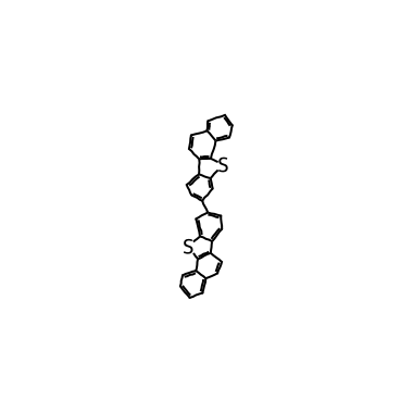 c1ccc2c(c1)ccc1c3ccc(-c4ccc5c(c4)sc4c6ccccc6ccc54)cc3sc21